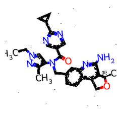 CCn1cc(N(Cc2ccc3c4c(c(N)nc3c2)[C@@H](C)OC4)C(=O)c2cnc(C3CC3)nc2)c(C)n1